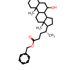 C[C@H](CCC(=O)OCc1ccccc1)C1CCC2C3C(O)CC4CCCCC4(C)C3CCC21C